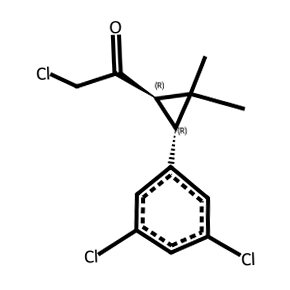 CC1(C)[C@H](C(=O)CCl)[C@H]1c1cc(Cl)cc(Cl)c1